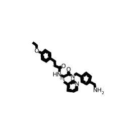 CCOc1ccc(C[CH]C(=O)N[C@@H](Cc2cccnc2)C(=O)NCc2ccc(CN)cc2)cc1